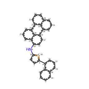 c1ccc2c(-c3ccc(Nc4ccc5c6cccc7cccc(c8cccc4c85)c76)s3)cccc2c1